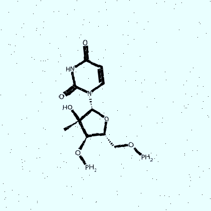 C[C@]1(O)[C@H](OP)[C@@H](COP)O[C@H]1n1ccc(=O)[nH]c1=O